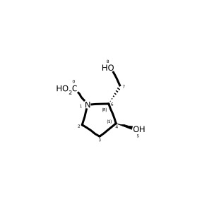 O=C(O)N1CC[C@H](O)[C@H]1CO